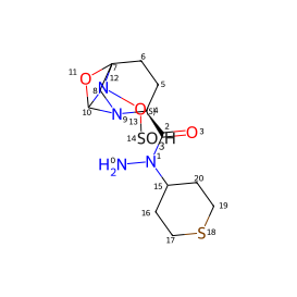 NN(C(=O)[C@@H]1CCC23CN1C(O2)N3OS(=O)(=O)O)C1CCSCC1